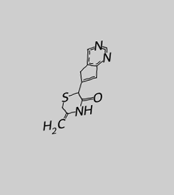 C=C1CSC(C2=Cc3ncncc3C2)C(=O)N1